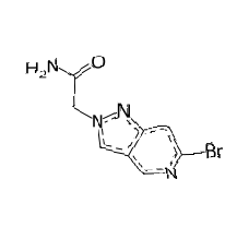 NC(=O)Cn1cc2cnc(Br)cc2n1